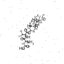 CC(=O)[C@H]1CC[C@H]2[C@@H]3CC[C@H]4C[C@H](OC(=O)[C@@H](NC(=O)[C@@H](N)CC(=O)O)C(C)C)CC[C@]4(C)[C@H]3CC[C@]12C